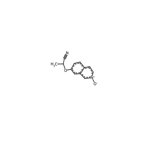 CC(C#N)Oc1ccc2cc[n+]([O-])cc2c1